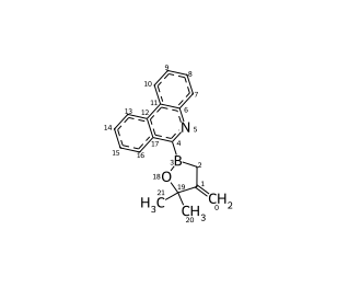 C=C1CB(c2nc3ccccc3c3ccccc23)OC1(C)C